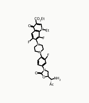 CCOC(=O)c1cn(CC)c2c(F)c(N3CCN(c4ccc(N5CC([C@H](N)C(C)=O)OC5=O)cc4F)CC3)c(F)cc2c1=O